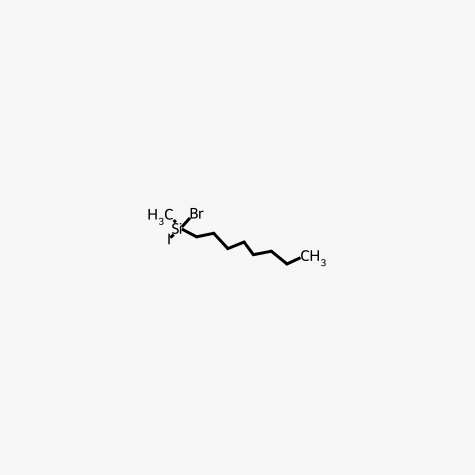 CCCCCCCC[Si](C)(Br)I